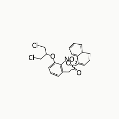 O=[N+]([O-])c1c(CS(=O)(=O)c2cccc3ccccc23)cccc1OC(CCl)CCl